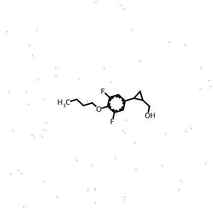 CCCCOc1c(F)cc(C2CC2CO)cc1F